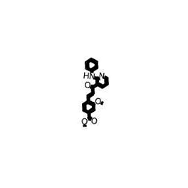 COC(=O)c1ccc(C=CC(=O)c2cccnc2Nc2ccccc2)c(OC)c1